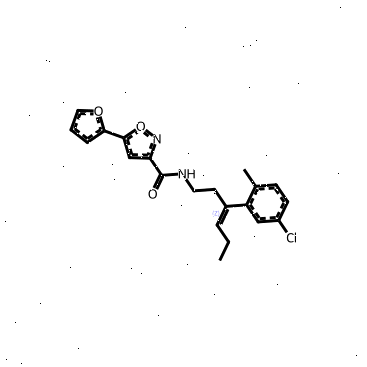 CC/C=C(/CCNC(=O)c1cc(-c2ccco2)on1)c1cc(Cl)ccc1C